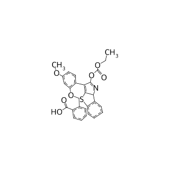 CCOC(=O)OC1=NC2C(=C1c1ccc(OC)cc1OCc1ccccc1C(=O)O)Sc1ccccc12